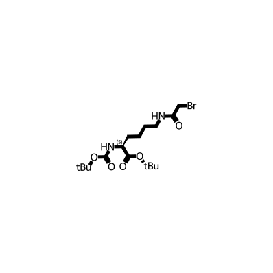 CC(C)(C)OC(=O)N[C@@H](CCCCNC(=O)CBr)C(=O)OC(C)(C)C